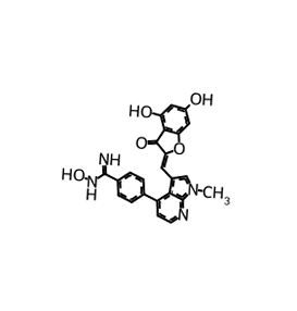 Cn1cc(C=C2Oc3cc(O)cc(O)c3C2=O)c2c(-c3ccc(C(=N)NO)cc3)ccnc21